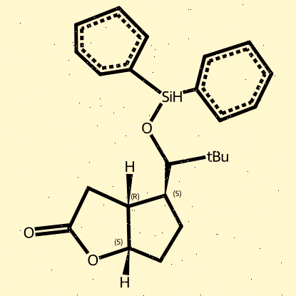 CC(C)(C)C(O[SiH](c1ccccc1)c1ccccc1)[C@H]1CC[C@@H]2OC(=O)C[C@@H]21